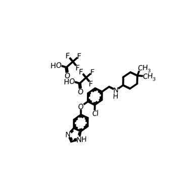 CC1(C)CCC(NCc2ccc(Oc3ccc4[nH]cnc4c3)c(Cl)c2)CC1.O=C(O)C(F)(F)F.O=C(O)C(F)(F)F